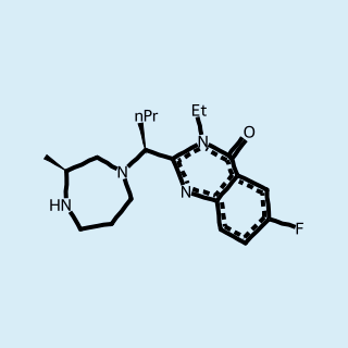 CCC[C@@H](c1nc2ccc(F)cc2c(=O)n1CC)N1CCCN[C@@H](C)C1